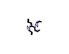 C=C\C=N/C(=C\C=C)C(/C=C\C)=N\C=C/C